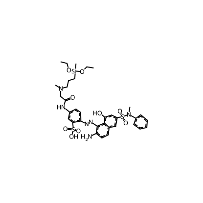 CCO[Si](C)(CCCN(C)CC(=O)Nc1ccc(/N=N/c2c(N)ccc3cc(S(=O)(=O)N(C)c4ccccc4)cc(O)c23)c(S(=O)(=O)O)c1)OCC